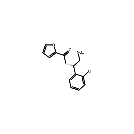 O=C(C[C@H](C[N+](=O)[O-])c1ccccc1Cl)c1ccco1